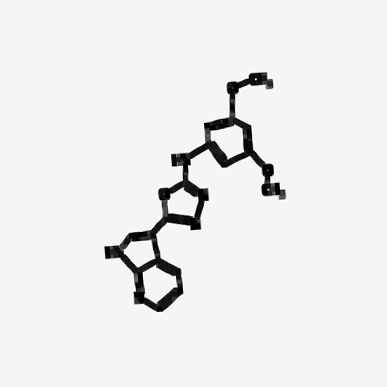 COc1cc(Nc2nnc(-c3c[nH]c4ncccc34)o2)cc(OC)c1